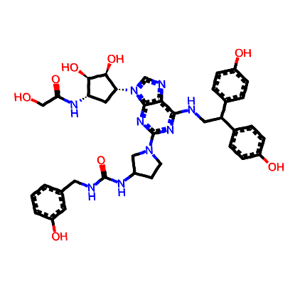 O=C(CO)N[C@H]1C[C@@H](n2cnc3c(NCC(c4ccc(O)cc4)c4ccc(O)cc4)nc(N4CCC(NC(=O)NCc5cccc(O)c5)C4)nc32)[C@H](O)[C@@H]1O